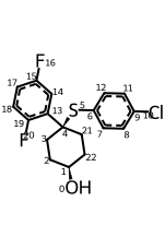 O[C@H]1CC[C@](Sc2ccc(Cl)cc2)(c2cc(F)ccc2F)CC1